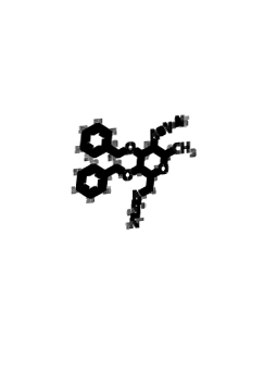 CC1OC(CN=[N+]=[N-])C(OCc2ccccc2)C(OCc2ccccc2)C1N=[N+]=[N-]